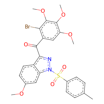 COc1ccc2c(C(=O)c3cc(OC)c(OC)c(OC)c3Br)nn(S(=O)(=O)c3ccc(C)cc3)c2c1